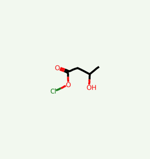 CC(O)CC(=O)OCl